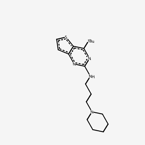 CC(C)(C)c1nc(NCCCN2CCCCC2)nc2ccsc12